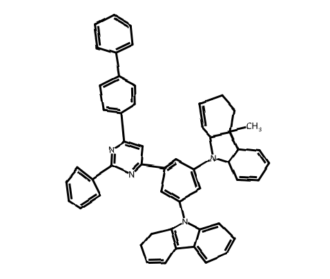 CC12CCC=CC1N(c1cc(-c3cc(-c4ccc(-c5ccccc5)cc4)nc(-c4ccccc4)n3)cc(-n3c4c(c5ccccc53)C=CCC4)c1)C1C=CC=CC12